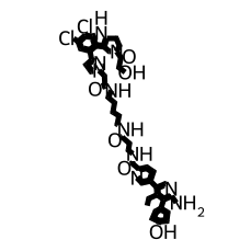 CCc1c(-c2ccc(C(=O)NCCC(=O)NCCCCCNC(=O)Cn3ccc(-c4cc(Cl)c(Cl)c5[nH]c6c(c45)CN(C(=O)CO)CC6)n3)nc2)cnc(N)c1-c1ccc(O)cc1